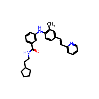 Cc1cc(C=Cc2ccccn2)ccc1Nc1cccc(C(=O)NCCC2CCCC2)c1